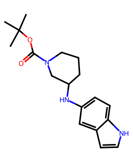 CC(C)(C)OC(=O)N1CCCC(Nc2ccc3[nH]ccc3c2)C1